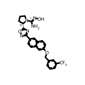 N/C(=N\O)N1CCC[C@H]1c1nc(-c2ccc3cc(OCc4cccc(C(F)(F)F)c4)ccc3c2)no1